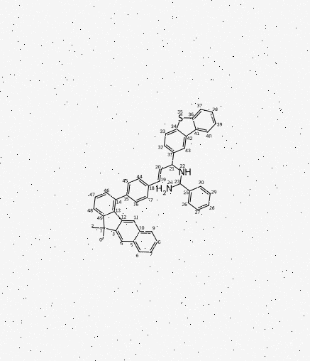 CC1(C)c2cc3ccccc3cc2-c2c(-c3ccc(/C=C/C(NC(N)c4ccccc4)c4ccc5sc6ccccc6c5c4)cc3)cccc21